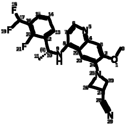 COc1cc2nccc(N[C@H](C)c3cccc(C(F)F)c3F)c2cc1N1CC(C#N)C1